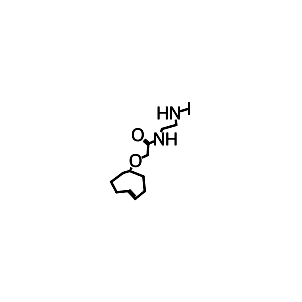 O=C(CO[C@H]1CC/C=C/CCC1)NCCNI